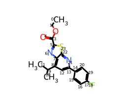 CCOC(=O)c1nc2c(C(C)C)cc(-c3ccc(F)cc3)nc2s1